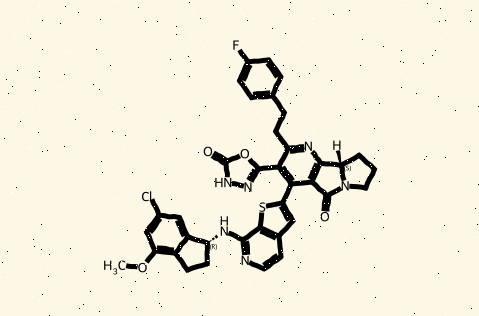 COc1cc(Cl)cc2c1CC[C@H]2Nc1nccc2cc(-c3c4c(nc(CCc5ccc(F)cc5)c3-c3n[nH]c(=O)o3)[C@@H]3CCCN3C4=O)sc12